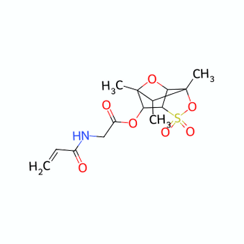 C=CC(=O)NCC(=O)OC1C2C3OC1(C)C(C)C3(C)OS2(=O)=O